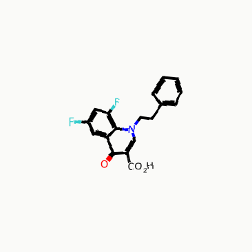 O=C(O)c1cn(CCc2ccccc2)c2c(F)cc(F)cc2c1=O